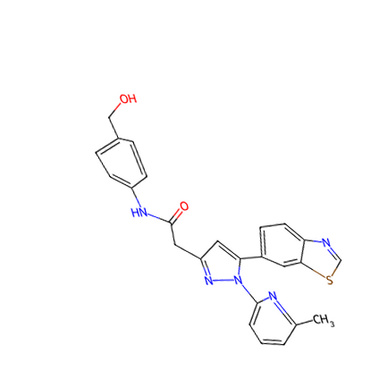 Cc1cccc(-n2nc(CC(=O)Nc3ccc(CO)cc3)cc2-c2ccc3ncsc3c2)n1